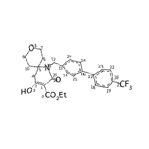 CCOC(=O)C1=C(O)CC2(CCOCC2)N(Cc2ccc(-c3ccc(C(F)(F)F)cc3)cc2)C1=O